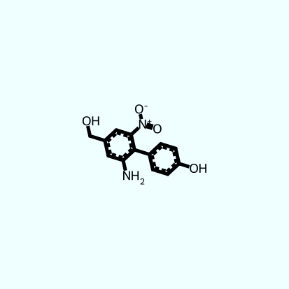 Nc1cc(CO)cc([N+](=O)[O-])c1-c1ccc(O)cc1